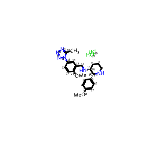 COc1ccc([C@H]2NCCC[C@H]2NCc2cc(-n3nnnc3C)ccc2OC)cc1.Cl.Cl